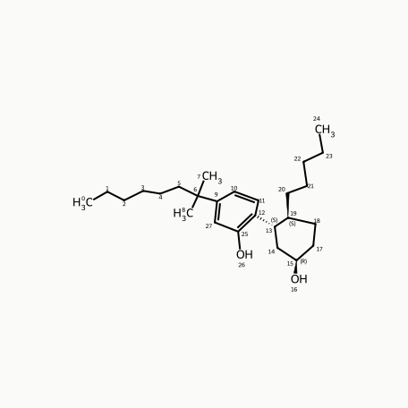 CCCCCCC(C)(C)c1ccc([C@H]2C[C@H](O)CC[C@@H]2CCCCC)c(O)c1